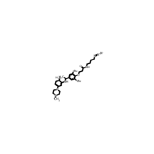 CC(NC1=CC(N2CCN(C)CC2)=CCC1N)c1cc(C(C)(C)C)c(OCCC(=O)NCCCCN=[N+]=[N-])c(C(C)(C)C)c1